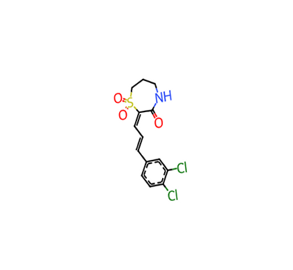 O=C1NCCCS(=O)(=O)/C1=C/C=C/c1ccc(Cl)c(Cl)c1